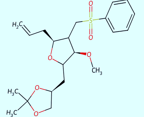 C=CC[C@@H]1OC(C[C@H]2COC(C)(C)O2)[C@H](OC)C1CS(=O)(=O)c1ccccc1